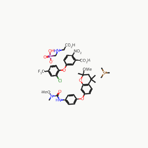 CON(C)C(=O)Nc1ccc(Oc2ccc3c(c2)OC(C)(OC)CC3(C)C)cc1.C[S+](C)C.O=C(O)CNCP(=O)([O-])O.O=C(O)c1cc(Oc2ccc(C(F)(F)F)cc2Cl)ccc1[N+](=O)[O-]